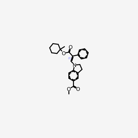 COC(=O)c1ccc2c(c1)CCN2/C=C(/C(=O)OC1(C)CCCCC1)c1ccccc1